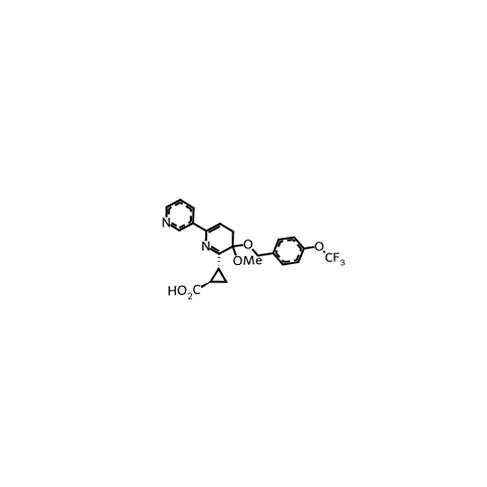 COC1(OCc2ccc(OC(F)(F)F)cc2)CC=C(c2cccnc2)N=C1[C@@H]1C[C@H]1C(=O)O